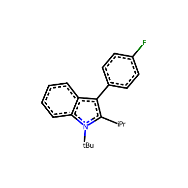 CC(C)c1c(-c2ccc(F)cc2)c2ccccc2n1C(C)(C)C